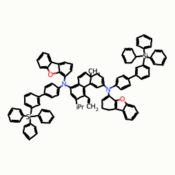 C=Cc1c(C(C)C)cc(N(c2ccc(-c3cccc([Si](c4ccccc4)(c4ccccc4)c4ccccc4)c3)cc2)c2cccc3c2oc2ccccc23)c2c1C1=CC(N(C3=CCCc4c3oc3ccccc43)c3ccc(-c4cccc([Si](c5ccccc5)(c5ccccc5)C5C=CC=CC5)c4)cc3)=CCC1(C)C=C2